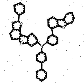 c1ccc(-c2ccc(N(c3cccc(-c4cccc5c4oc4ccccc45)c3)c3ccc4c(c3)oc3ccc5nc(-c6ccccc6)oc5c34)cc2)cc1